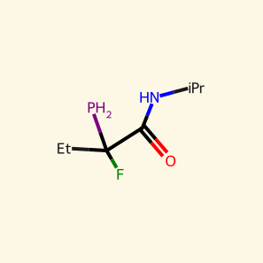 CCC(F)(P)C(=O)NC(C)C